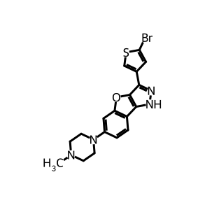 CN1CCN(c2ccc3c(c2)oc2c(-c4csc(Br)c4)n[nH]c23)CC1